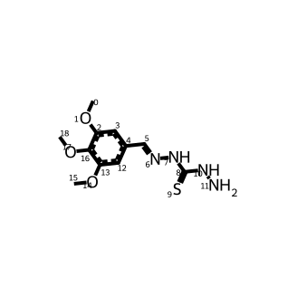 COc1cc(C=NNC(=S)NN)cc(OC)c1OC